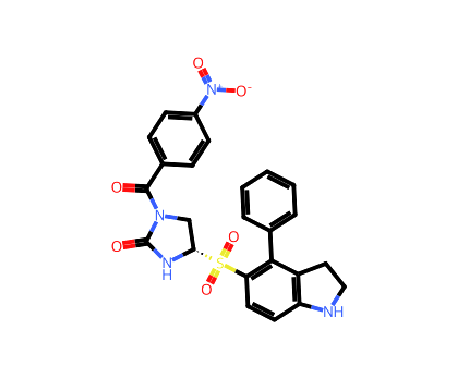 O=C1N[C@@H](S(=O)(=O)c2ccc3c(c2-c2ccccc2)CCN3)CN1C(=O)c1ccc([N+](=O)[O-])cc1